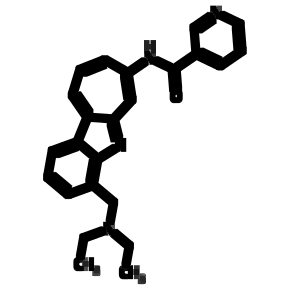 CCN(CC)Cc1cccc2c3cccc(NC(=O)c4cccnc4)cc-3nc12